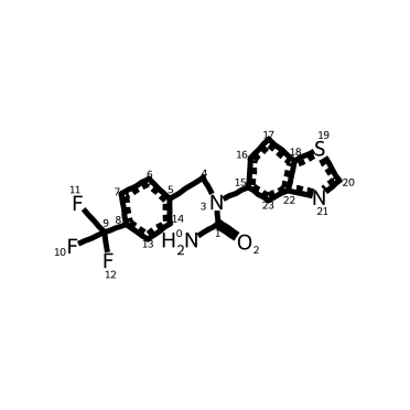 NC(=O)N(Cc1ccc(C(F)(F)F)cc1)c1ccc2scnc2c1